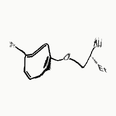 CC[C@@H](O)COc1cccc(C(C)C)c1